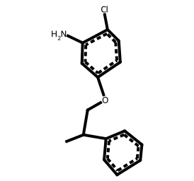 CC(COc1ccc(Cl)c(N)c1)c1ccccc1